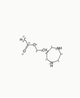 C1CNCCNC1.CCOC(C)=O